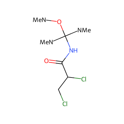 CNOC(NC)(NC)NC(=O)C(Cl)CCl